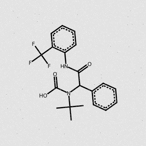 CC(C)(C)N(C(=O)O)C(C(=O)Nc1ccccc1C(F)(F)F)c1ccccc1